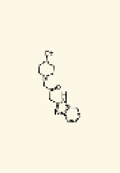 CCC1CCN(CC(=O)Cc2nc3ccccc3[nH]2)CC1